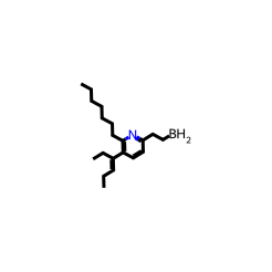 BCCc1ccc(C(=CCC)CC)c(CCCCCCC)n1